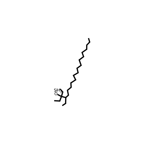 CCCCCCCCCCCCCCCCC(CC)C(CC)(CC)O[SiH3]